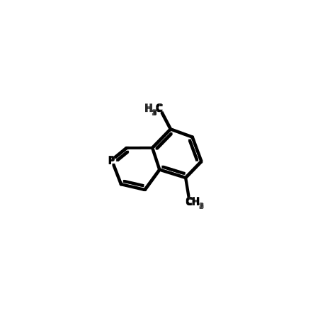 Cc1ccc(C)c2cpccc12